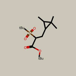 CC1C(CC(C(=O)OC(C)(C)C)S(=O)(=O)C(C)(C)C)C1(C)C